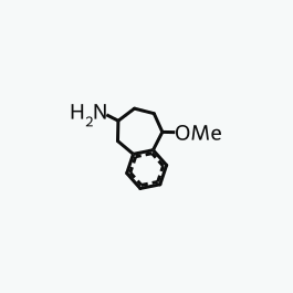 COC1CCC(N)Cc2ccccc21